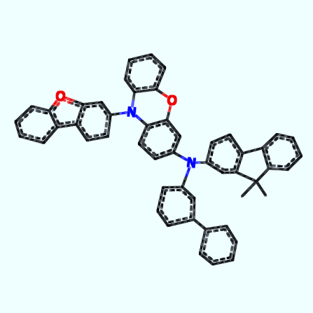 CC1(C)c2ccccc2-c2ccc(N(c3cccc(-c4ccccc4)c3)c3ccc4c(c3)Oc3ccccc3N4c3ccc4c(c3)oc3ccccc34)cc21